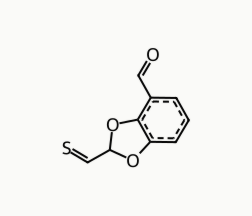 O=Cc1cccc2c1OC(C=S)O2